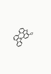 Clc1ccc2c3c1sc1cccc(c4cccc5c6ccccc6n2c45)c13